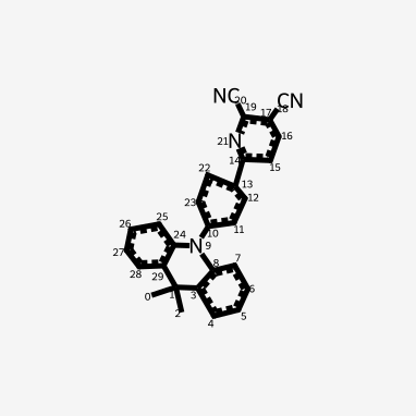 CC1(C)c2ccccc2N(c2ccc(-c3ccc(C#N)c(C#N)n3)cc2)c2ccccc21